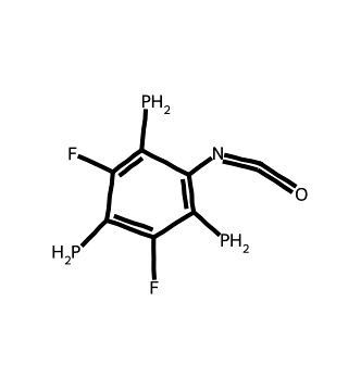 O=C=Nc1c(P)c(F)c(P)c(F)c1P